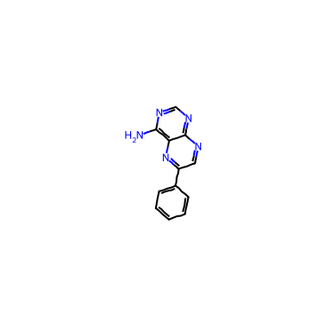 Nc1ncnc2ncc(-c3ccccc3)nc12